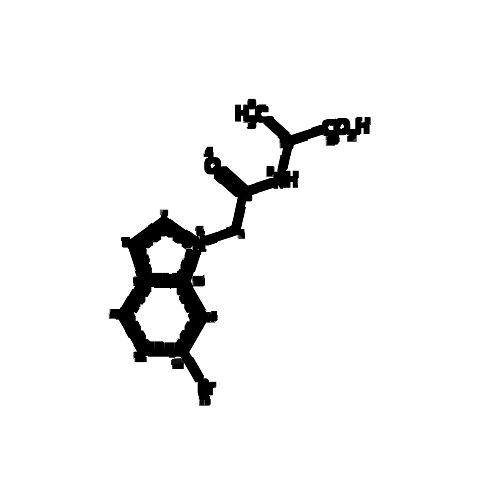 CC(NC(=O)Cn1ccc2ccc(Br)cc21)C(=O)O